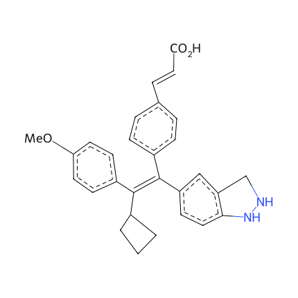 COc1ccc(/C(=C(\c2ccc(/C=C/C(=O)O)cc2)c2ccc3c(c2)CNN3)C2CCC2)cc1